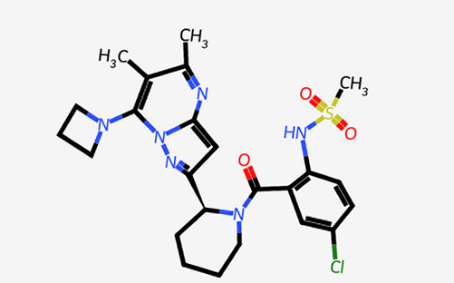 Cc1nc2cc([C@@H]3CCCCN3C(=O)c3cc(Cl)ccc3NS(C)(=O)=O)nn2c(N2CCC2)c1C